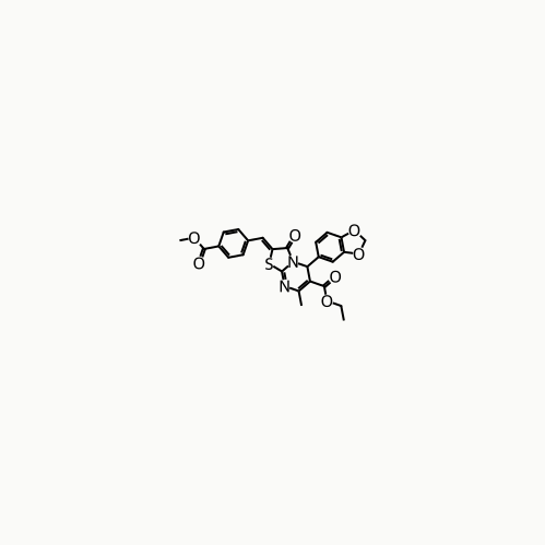 CCOC(=O)C1=C(C)N=c2sc(=Cc3ccc(C(=O)OC)cc3)c(=O)n2C1c1ccc2c(c1)OCO2